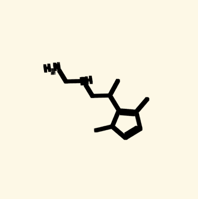 CC1=C(C(C)CBCN)C(C)C=C1